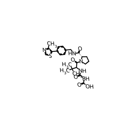 Cc1ncsc1-c1ccc(CNC(=O)[C@@H]2CCCN2C(=O)C(NC(=O)BC(=O)O)C(C)(C)C)cc1